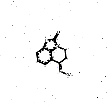 CC(=O)O/N=C1\CCn2c(=O)oc3cccc1c32